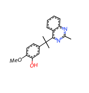 COc1ccc(C(C)(C)c2nc(C)nc3ccccc23)cc1O